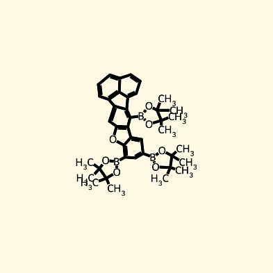 CC1(C)OB(c2cc(B3OC(C)(C)C(C)(C)O3)c3oc4cc5c(c(B6OC(C)(C)C(C)(C)O6)c4c3c2)-c2cccc3cccc-5c23)OC1(C)C